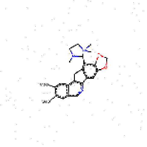 COc1cc2cnc3c(c2cc1OC)Cc1c-3cc2c(c1C1N(C)CC[N+]1(C)C)OCO2